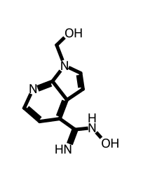 N=C(NO)c1ccnc2c1ccn2CO